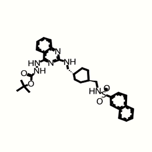 CC(C)(C)OC(=O)NNc1nc(NC[C@H]2CC[C@H](CNS(=O)(=O)c3ccc4ccccc4c3)CC2)nc2ccccc12